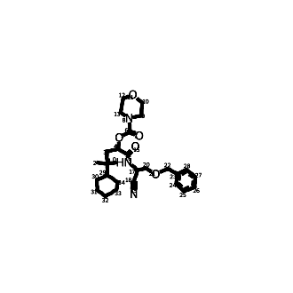 CC(C)(CC(OC(=O)N1CCOCC1)C(=O)NC(C#N)COCc1ccccc1)C1CCCCC1